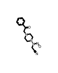 N#CCN(N=O)N1CCN(CC(=O)c2ccccc2)CC1